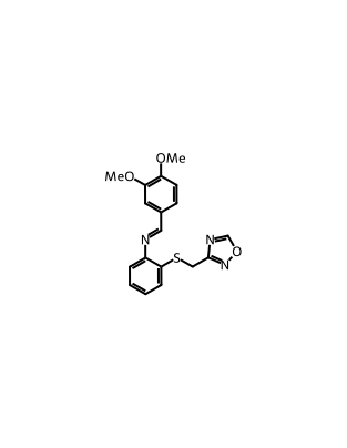 COc1ccc(C=Nc2ccccc2SCc2ncon2)cc1OC